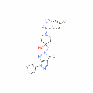 Nc1cc(Cl)ccc1C(=O)N1CCC(O)(Cn2cnc3c(cnn3-c3ccccc3)c2=O)CC1